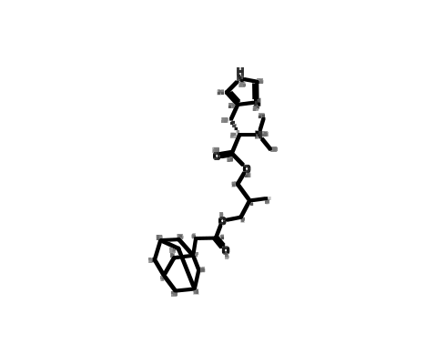 [CH2]C(COC(=O)CC12CC3CC(CC(C3)C1)C2)COC(=O)[C@H](Cc1c[nH]cn1)N(C)C